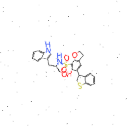 O=S(=O)(N[C@@H](CO)Cc1c[nH]c2ccccc12)c1cc(C2CSc3ccccc32)cc2c1OCC2